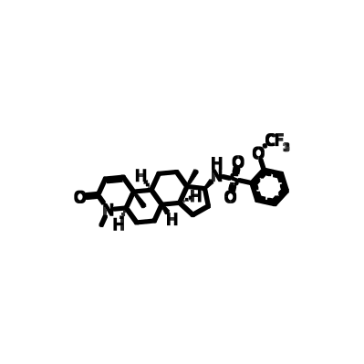 CN1C(=O)C=C[C@]2(C)[C@H]3CC[C@]4(C)[C@@H](NS(=O)(=O)c5ccccc5OC(F)(F)F)CC[C@H]4[C@@H]3CC[C@@H]12